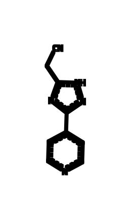 N#CCc1nc(-c2ccncc2)n[nH]1